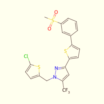 CS(=O)(=O)c1cccc(-c2ccc(-c3cc(C(F)(F)F)n(Cc4ccc(Cl)s4)n3)s2)c1